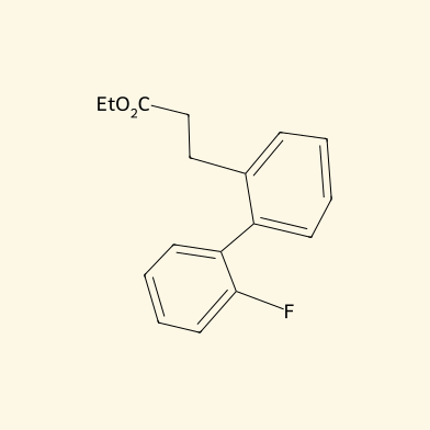 CCOC(=O)CCc1ccccc1-c1ccccc1F